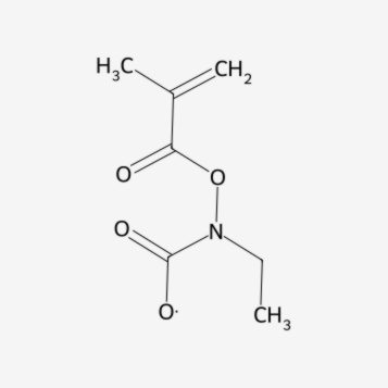 C=C(C)C(=O)ON(CC)C([O])=O